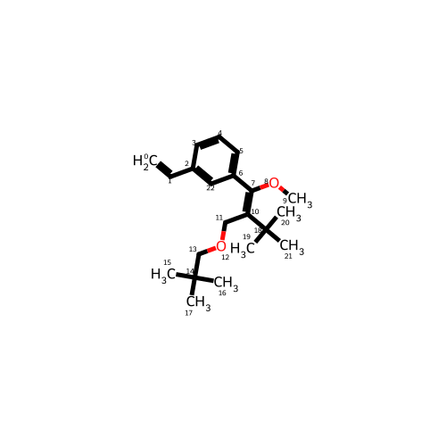 C=Cc1cccc(C(OC)=C(COCC(C)(C)C)C(C)(C)C)c1